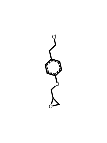 ClCCc1ccc(OCC2CO2)cc1